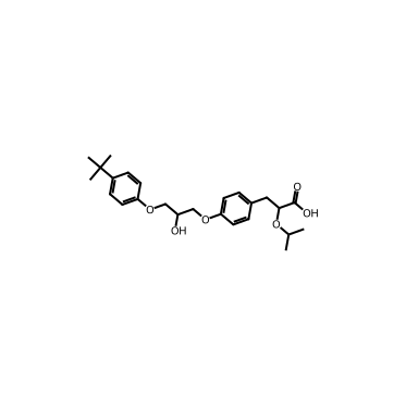 CC(C)OC(Cc1ccc(OCC(O)COc2ccc(C(C)(C)C)cc2)cc1)C(=O)O